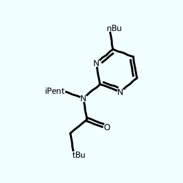 CCCCc1ccnc(N(C(=O)CC(C)(C)C)C(C)CCC)n1